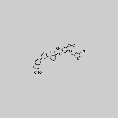 Cc1c(COc2cc(OCc3cncc(C#N)c3)c(C=O)cc2Cl)cccc1-c1cccc(-c2ccc3oc(C=O)cc3c2)c1